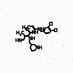 CC=C(NCc1ccc(Cl)c(Cl)c1)NC(=O)/C(NCC1CCCNC1)=C(\C)C=N